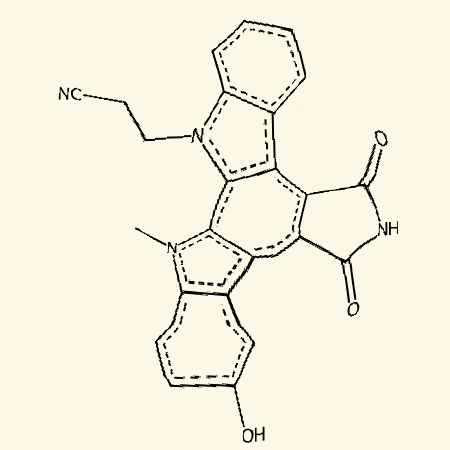 Cn1c2ccc(O)cc2c2c3c(c4c5ccccc5n(CCC#N)c4c21)C(=O)NC3=O